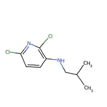 CC(C)CNc1ccc(Cl)nc1Cl